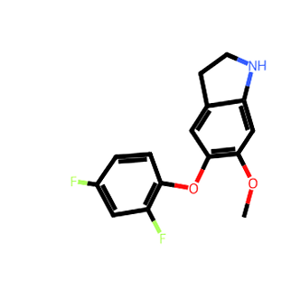 COc1cc2c(cc1Oc1ccc(F)cc1F)CCN2